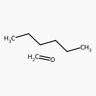 C=O.CCCCCC